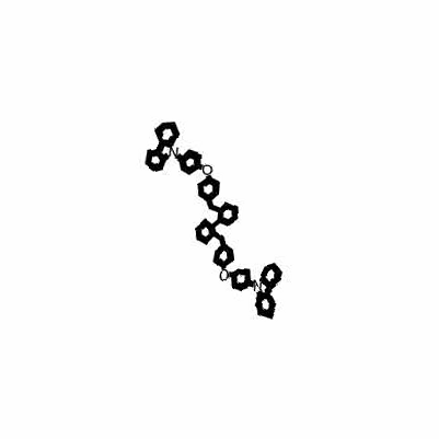 c1ccc(-c2ccccc2Cc2ccc(Oc3ccc(-n4c5ccccc5c5ccccc54)cc3)cc2)c(Cc2ccc(Oc3ccc(-n4c5ccccc5c5ccccc54)cc3)cc2)c1